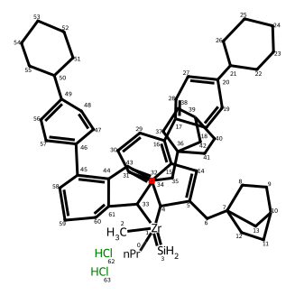 CC[CH2][Zr]([CH3])(=[SiH2])([CH]1C(CC23CCC(CC2)C3)=Cc2c(-c3ccc(C4CCCCC4)cc3)cccc21)[CH]1C(CC23CCC(CC2)C3)=Cc2c(-c3ccc(C4CCCCC4)cc3)cccc21.Cl.Cl